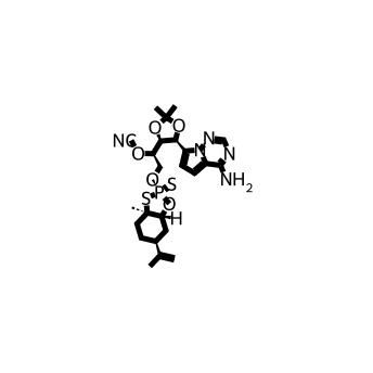 C=C(C)[C@H]1CC[C@@]2(C)S[P@](=S)(OC[C@@H](OC#N)[C@H]3OC(C)(C)O[C@H]3c3ccc4c(N)ncnn34)O[C@@H]2C1